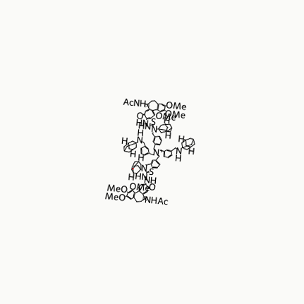 COc1cc2c(c(OC)c1OC)-c1ccc(NNC(=S)N(Cc3cccc(C[N+](Cc4cccc(CN[C@]56CC7C[C@H](C[C@@H](C7)C5)C6)c4)(Cc4cccc(CN[C@]56CC7C[C@H](C[C@@H](C7)C5)C6)c4)Cc4cccc(CN(C(=S)NNc5ccc6c(cc5=O)[C@@H](NC(C)=O)CCc5cc(OC)c(OC)c(OC)c5-6)[C@]56CC7C[C@H](C[C@@H](C7)C5)C6)c4)c3)[C@]34CC5C[C@H](C[C@@H](C5)C3)C4)c(=O)cc1[C@@H](NC(C)=O)CC2